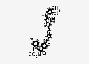 CCc1cc(Nc2cc(=O)n(CCCCN3CCC(CNc4cc5c(cc4F)c(=O)c(C(=O)O)cn5-c4ccc(F)cc4F)C3)c(=O)[nH]2)ccc1C